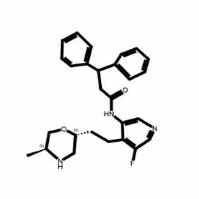 C[C@H]1CO[C@H](CCc2c(F)cncc2NC(=O)CC(c2ccccc2)c2ccccc2)CN1